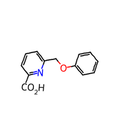 O=C(O)c1cccc(COc2ccccc2)n1